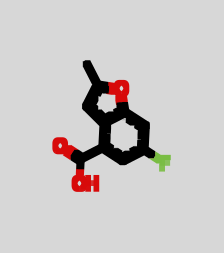 Cc1cc2c(C(=O)O)cc(F)cc2o1